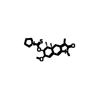 CO[C@@H]1C=C2C=C3C(=C(C)C(=O)N3C)C[C@]2(C)[C@@H](C)[C@H]1OC(=S)N1CCCC1